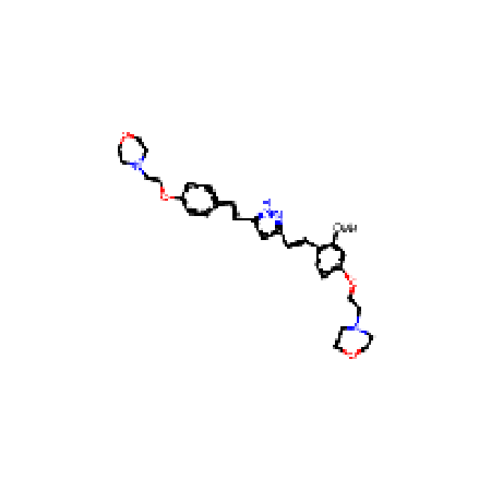 COc1cc(OCCN2CCOCC2)ccc1/C=C/c1cc(/C=C/c2ccc(OCCN3CCOCC3)cc2)[nH]n1